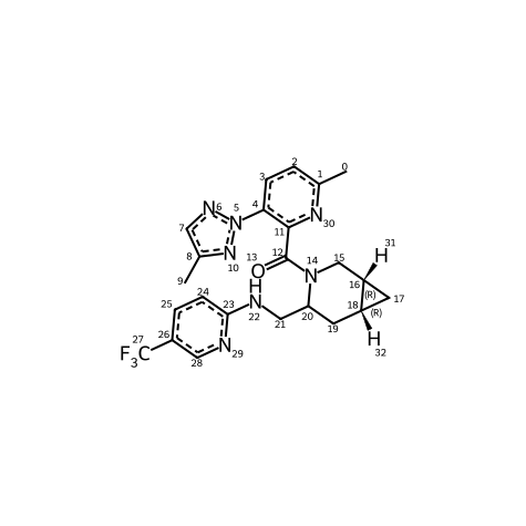 Cc1ccc(-n2ncc(C)n2)c(C(=O)N2C[C@@H]3C[C@@H]3CC2CNc2ccc(C(F)(F)F)cn2)n1